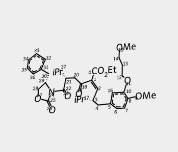 CCOC(=O)C(=C[C@H](Cc1ccc(OC)c(OCCCOC)c1)C(C)C)C(=O)C[C@H](C(=O)N1C(=O)OC[C@@H]1Cc1ccccc1)C(C)C